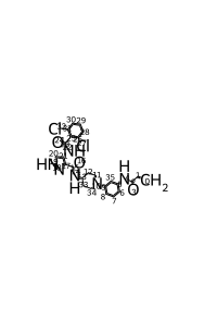 C=CC(=O)Nc1cccc(N2CCC(NC(=O)c3n[nH]cc3NC(=O)c3c(Cl)cccc3Cl)CC2)c1